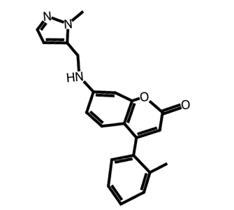 Cc1ccccc1-c1cc(=O)oc2cc(NCc3ccnn3C)ccc12